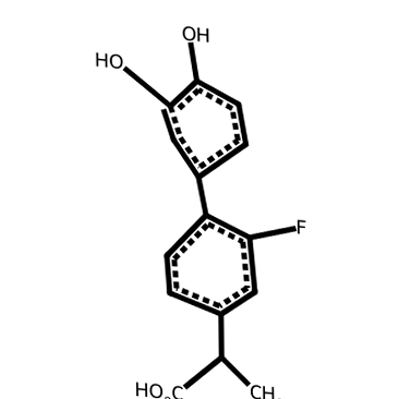 CC(C(=O)O)c1ccc(-c2ccc(O)c(O)c2)c(F)c1